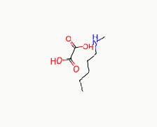 CCCCCNC.O=C(O)C(=O)O